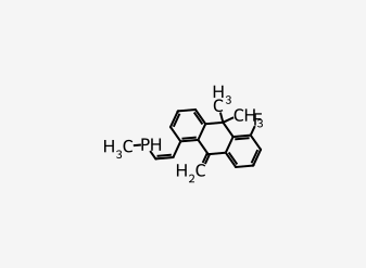 C=C1c2cccc(F)c2C(C)(C)c2cccc(/C=C\PC)c21